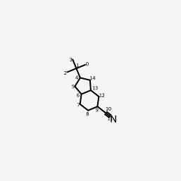 CC(C)(C)C1CC2CCC(C#N)CC2C1